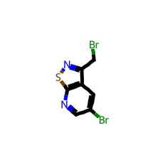 BrCc1nsc2ncc(Br)cc12